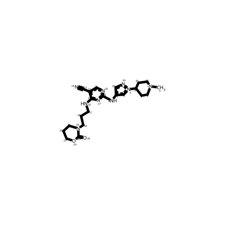 CN1CCC(n2cc(Nc3ncc(C#N)c(NCCCN4CCCOC4=O)n3)cn2)CC1